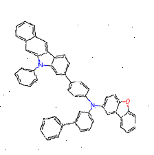 c1ccc(-c2cccc(N(c3ccc(-c4ccc5c6cc7ccccc7cc6n(-c6ccccc6)c5c4)cc3)c3ccc4oc5ccccc5c4c3)c2)cc1